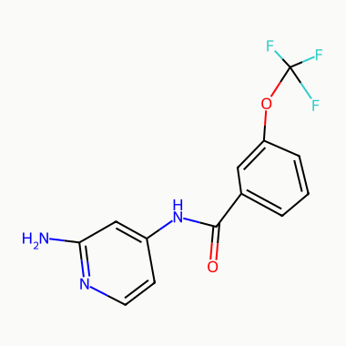 Nc1cc(NC(=O)c2cccc(OC(F)(F)F)c2)ccn1